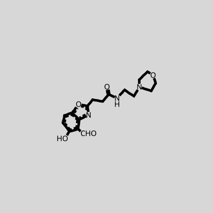 O=Cc1c(O)ccc2oc(CCC(=O)NCCN3CCOCC3)nc12